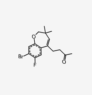 CC(=O)CCC1=CC(C)(C)COc2cc(Br)c(F)cc21